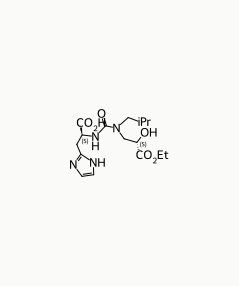 CCOC(=O)[C@@H](O)CN(CC(C)C)C(=O)N[C@@H](Cc1ncc[nH]1)C(=O)O